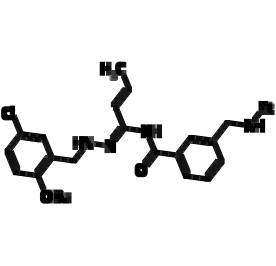 C/C=C/C(=N\NCc1cc(Cl)ccc1OCC(C)C)NC(=O)c1cccc(CNCC)c1